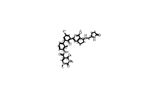 COc1nc(-c2cc(F)cc(-c3cccc(NC(=O)c4cn(C)c(=O)n(C)c4=O)c3C)c2Cl)cc2c1C(NCC1CCC(=O)N1)CC2